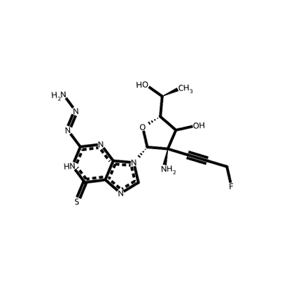 C[C@H](O)[C@H]1O[C@@H](n2cnc3c(=S)[nH]c(N=NN)nc32)[C@@](N)(C#CCF)C1O